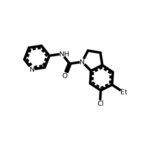 CCc1cc2c(cc1Cl)N(C(=O)Nc1cccnc1)CC2